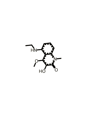 CCNc1cccc2c1c(OC)c(O)c(=O)n2C